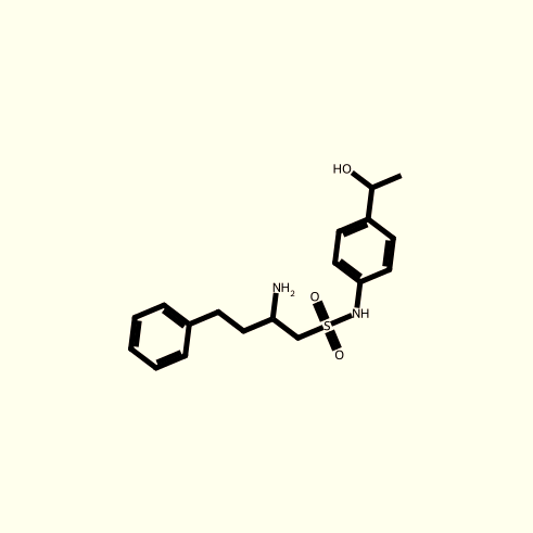 CC(O)c1ccc(NS(=O)(=O)CC(N)CCc2ccccc2)cc1